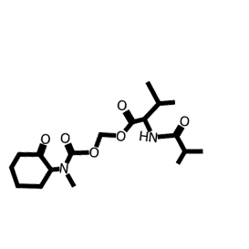 CC(C)C(=O)NC(C(=O)OCOC(=O)N(C)C1CCCCC1=O)C(C)C